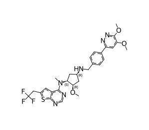 COc1cc(-c2ccc(CN[C@H]3C[C@@H](OC)[C@@H](N(C)c4ncnc5sc(CC(F)(F)F)cc45)C3)cc2)nnc1OC